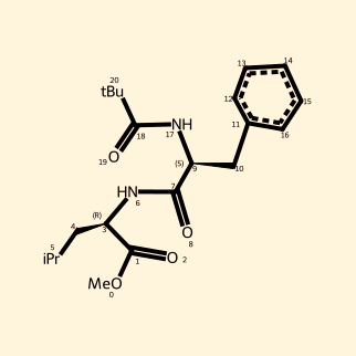 COC(=O)[C@@H](CC(C)C)NC(=O)[C@H](Cc1ccccc1)NC(=O)C(C)(C)C